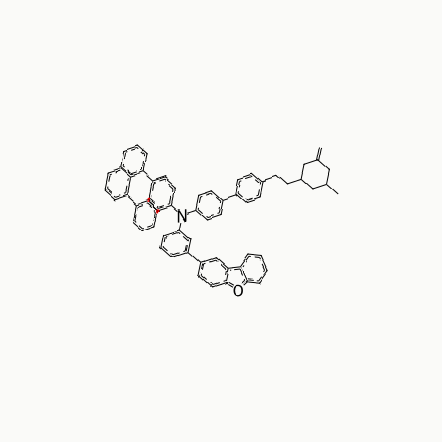 C=C1CC(C)CC(CCc2ccc(-c3ccc(N(c4ccc(-c5cccc6cccc(-c7ccccc7)c56)cc4)c4cccc(-c5ccc6oc7ccccc7c6c5)c4)cc3)cc2)C1